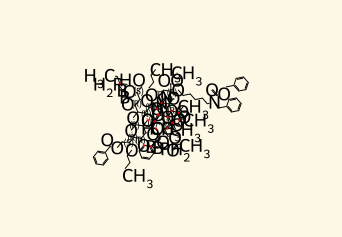 CCCCO[C@@H](CO)C1O[C@H](O[C@H]2C([C@H]3COC(C)(C)O3)O[C@@](OCCCCCN(Cc3ccccc3)C(=O)OCc3ccccc3)(C(=O)OC)C[C@H]2OCCCC)[C@H](OC(C)=O)C(O[C@H]2O[C@@H]([C@H](COC(=O)c3ccccc3)OCCCC)[C@@H](OB=BP)C(OC(=O)c3ccccc3)C2O[C@H]2OC(COC(C)=O)[C@@H](OC(C)=O)[C@@H](OC(C)=O)C2N=[N+]=[N-])[C@@H]1OB=BP